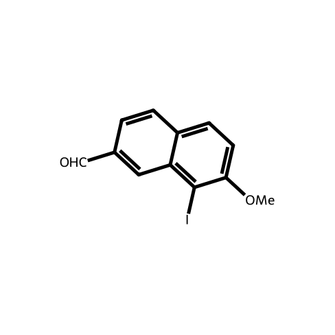 COc1ccc2ccc(C=O)cc2c1I